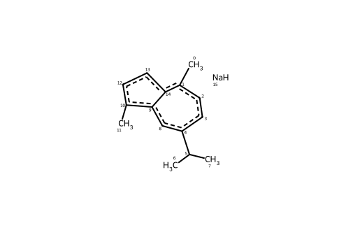 Cc1ccc(C(C)C)cc2c(C)ccc1-2.[NaH]